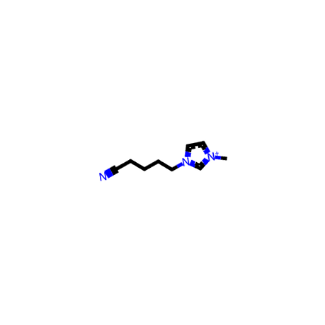 C[n+]1ccn(CCCCC#N)c1